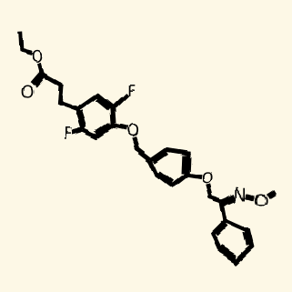 CCOC(=O)CCc1cc(F)c(OCc2ccc(OCC(=NOC)c3ccccc3)cc2)cc1F